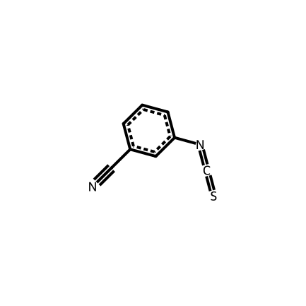 N#Cc1cccc(N=C=S)c1